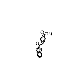 O=C(CN1CCN(C(=O)O)CC1)c1cnc2ccccc2n1